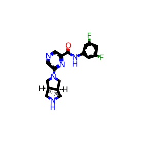 O=C(Nc1cc(F)cc(F)c1)c1cncc(N2C[C@H]3CNC[C@H]3C2)n1